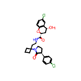 O=C(NCCC1(N2CC[C@@H](c3ccc(Cl)cc3)C2=O)CCC1)[C@H]1C[C@@H](O)c2cc(Cl)ccc2O1